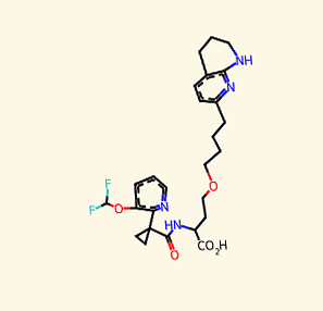 O=C(O)C(CCOCCCCc1ccc2c(n1)NCCC2)NC(=O)C1(c2ncccc2OC(F)F)CC1